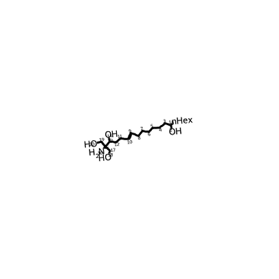 CCCCCCC(O)CCCCCCC=CCCC(O)C(N)(CO)CO